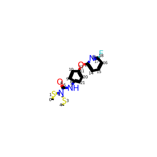 CSN(SC)C(=O)Nc1ccc(Oc2cccc(F)n2)cc1